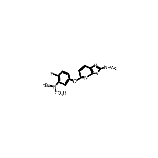 CC(=O)Nc1nc2ccc(Oc3ccc(F)c(N(C(=O)O)C(C)(C)C)c3)nc2s1